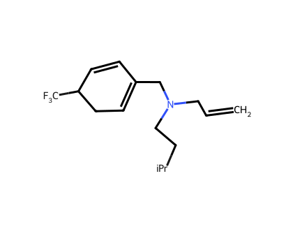 C=CCN(CCC(C)C)CC1=CCC(C(F)(F)F)C=C1